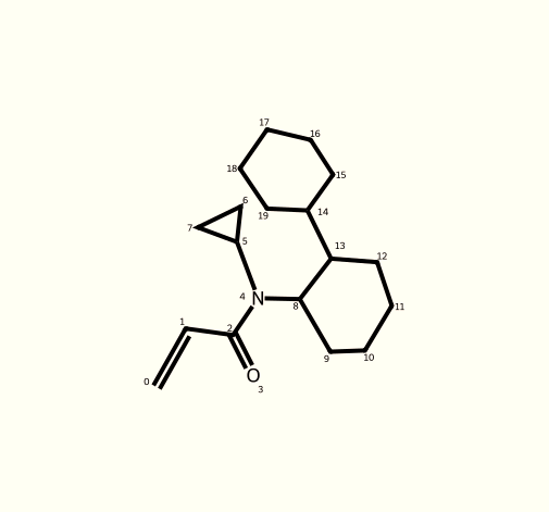 C=CC(=O)N(C1CC1)C1CCCCC1C1CCCCC1